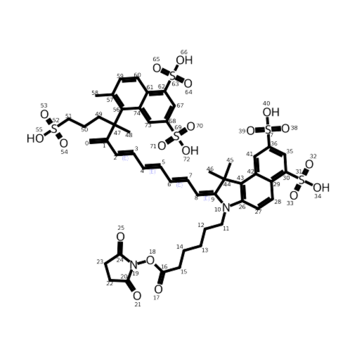 C=C(/C=C/C=C/C=C/C=C1/N(CCCCCC(=O)ON2C(=O)CCC2=O)c2ccc3c(S(=O)(=O)O)cc(S(=O)(=O)O)cc3c2C1(C)C)C(C)(CCCS(=O)(=O)O)c1c(C)ccc2c(S(=O)(=O)O)cc(S(=O)(=O)O)cc12